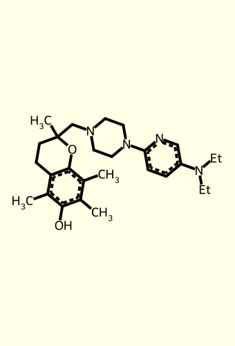 CCN(CC)c1ccc(N2CCN(CC3(C)CCc4c(C)c(O)c(C)c(C)c4O3)CC2)nc1